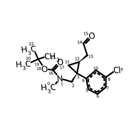 CN(C[C@@]1(c2cccc(Cl)c2)C[C@H]1CC=O)C(=O)OC(C)(C)C